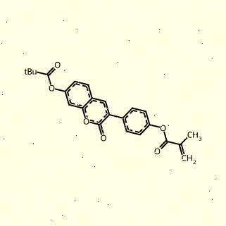 C=C(C)C(=O)Oc1ccc(-c2cc3ccc(OC(=O)C(C)(C)C)cc3oc2=O)cc1